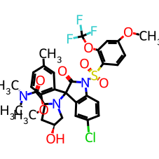 COc1ccc(S(=O)(=O)N2C(=O)C(c3cc(C)ccc3OC)(N3C[C@@H](O)C[C@H]3C(=O)N(C)C)c3cc(Cl)ccc32)c(OC(F)(F)F)c1